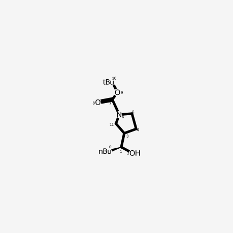 CCCC[C@H](O)C1CCN(C(=O)OC(C)(C)C)C1